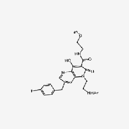 CC(=O)NCCn1c(=O)c(C(=O)NCCOC(C)C)c(O)c2ncc(Cc3ccc(F)cc3)cc21